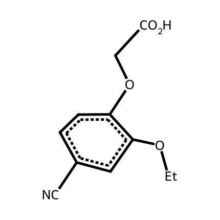 CCOc1cc(C#N)ccc1OCC(=O)O